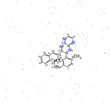 Cc1cccc(C)c1-c1nc2nccnc2nc1-c1cc(C(C)(C)C)c2ccccc2c1